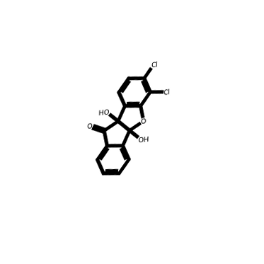 O=C1c2ccccc2C2(O)Oc3c(ccc(Cl)c3Cl)C12O